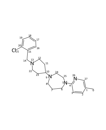 Cc1ccc(N2CCCN(C3CCN(Cc4ccccc4Cl)CC3)CC2)nc1